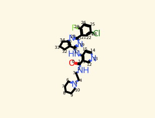 O=C(NCCN1CCCCC1)c1cnccc1Nc1nc(-c2cc(Cl)ccc2F)nc2c1CCC2